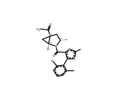 [CH2][C@H]1C[C@@]2(C(N)=O)C[C@@H]2N1C(=O)c1nc(C)sc1-c1c(F)cccc1Cl